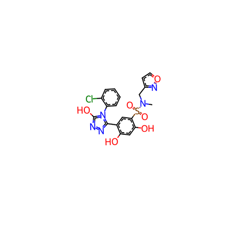 CN(Cc1ccon1)S(=O)(=O)c1cc(-c2nnc(O)n2-c2ccccc2Cl)c(O)cc1O